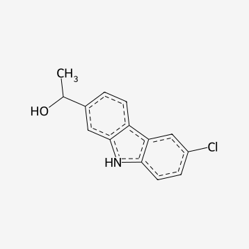 CC(O)c1ccc2c(c1)[nH]c1ccc(Cl)cc12